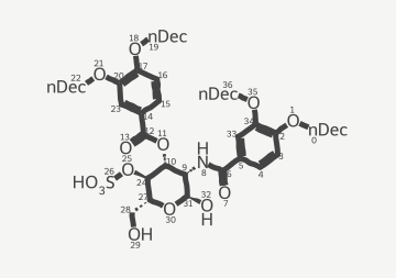 CCCCCCCCCCOc1ccc(C(=O)N[C@H]2[C@@H](OC(=O)c3ccc(OCCCCCCCCCC)c(OCCCCCCCCCC)c3)[C@H](OS(=O)(=O)O)[C@@H](CO)O[C@@H]2O)cc1OCCCCCCCCCC